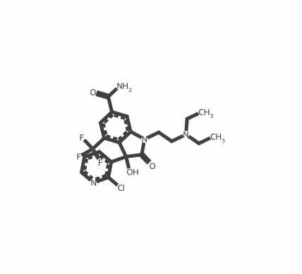 CCN(CC)CCN1C(=O)C(O)(c2cccnc2Cl)c2c1cc(C(N)=O)cc2C(F)(F)F